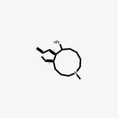 C=C/C=C1\C(=C/C)CCCN(C)CCCCC1CCC